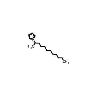 CCCCCCCCCCC(C)n1cccc1